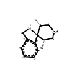 C[C@@H]1CNC[C@H](C)[C@@]12OCc1ccccc12